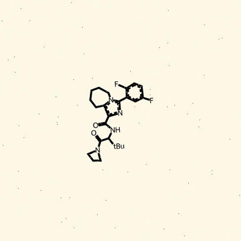 CC(C)(C)C(NC(=O)c1nc(-c2cc(F)ccc2F)n2c1CCCCC2)C(=O)N1CCC1